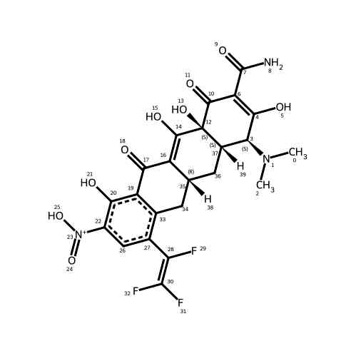 CN(C)[C@@H]1C(O)=C(C(N)=O)C(=O)[C@@]2(O)C(O)=C3C(=O)c4c(O)c([N+](=O)O)cc(C(F)=C(F)F)c4C[C@H]3C[C@@H]12